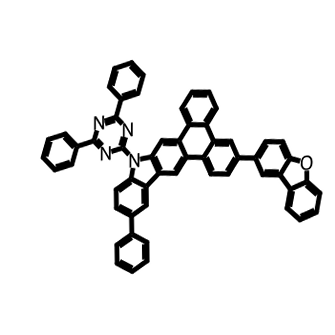 c1ccc(-c2ccc3c(c2)c2cc4c5ccc(-c6ccc7oc8ccccc8c7c6)cc5c5ccccc5c4cc2n3-c2nc(-c3ccccc3)nc(-c3ccccc3)n2)cc1